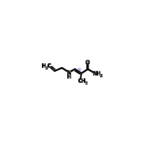 C=CCN/C=C(\C)C(N)=O